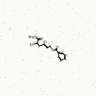 CCC(CC(Cl)=CCSC(=S)c1ccccc1)C(=O)OC